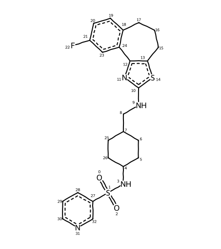 O=S(=O)(NC1CCC(CNc2nc3c(s2)CCCc2ccc(F)cc2-3)CC1)c1cccnc1